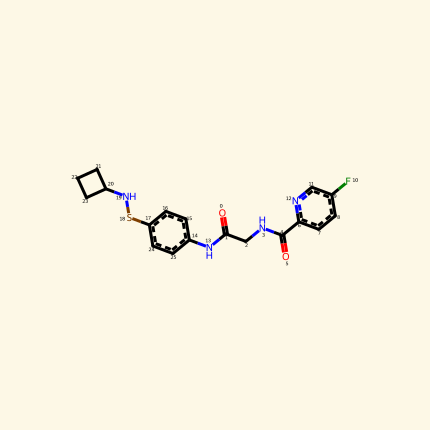 O=C(CNC(=O)c1ccc(F)cn1)Nc1ccc(SNC2CCC2)cc1